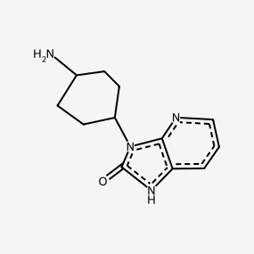 NC1CCC(n2c(=O)[nH]c3cccnc32)CC1